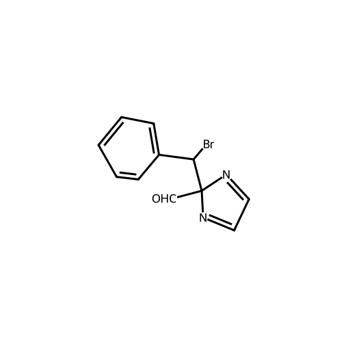 O=CC1(C(Br)c2ccccc2)N=CC=N1